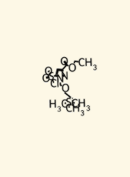 CCOC(=O)c1cc(S(=O)(=O)Cl)n(COCC[Si](C)(C)C)n1